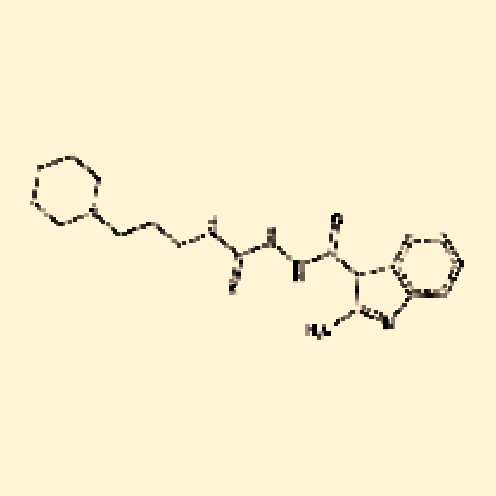 CC1=Nc2ccccc2C1C(=O)NNC(=S)NCCCN1CCCCC1